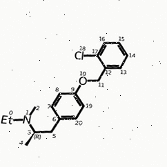 CCN(C)[C@H](C)Cc1ccc(OCc2ccccc2Cl)cc1